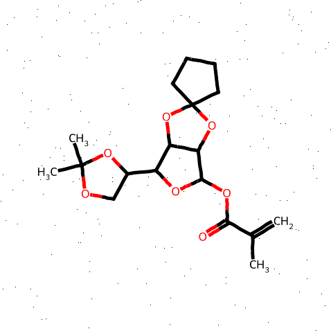 C=C(C)C(=O)OC1OC(C2COC(C)(C)O2)C2OC3(CCCC3)OC12